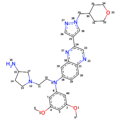 COc1cc(OC)cc(N(CCN2CCC(N)C2)c2ccc3ncc(-c4cnn(CC5CCOCC5)c4)nc3c2)c1